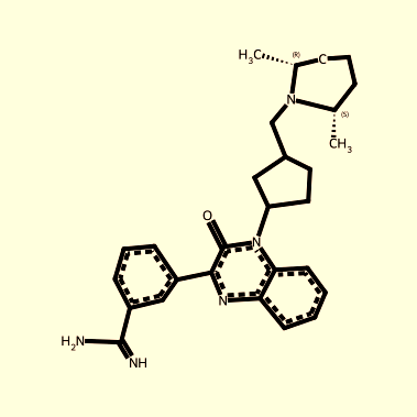 C[C@@H]1CCC[C@H](C)N1CC1CCC(n2c(=O)c(-c3cccc(C(=N)N)c3)nc3ccccc32)C1